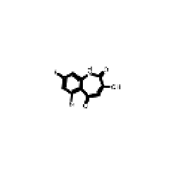 O=c1[nH]c2cc(F)cc(Br)c2c(=O)cc1O